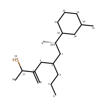 C=C(CC(CCC)C[C@H](C)C1CCCC(C)C1)C(C)S